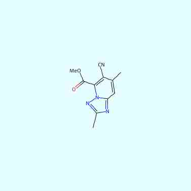 COC(=O)c1c(C#N)c(C)cc2nc(C)nn12